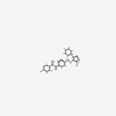 Cc1ccc(C(=O)Nc2ccc(OCc3c(-c4ccccc4)noc3C)nn2)cc1